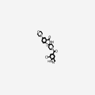 O=C1NC2(CCN(C(=O)c3cc(Cl)c4[nH]ncc4c3)CC2)Oc2ccc(N3CCOCC3)cc21